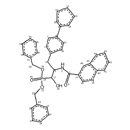 O=C(NC(Cc1ccc(-c2ccccc2)cc1)C(O)P(=O)(OCc1ccccc1)OCc1ccccc1)c1cnc2ccccc2c1